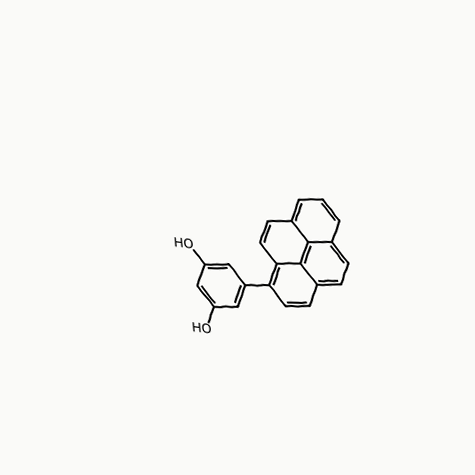 Oc1cc(O)cc(-c2ccc3ccc4cccc5ccc2c3c45)c1